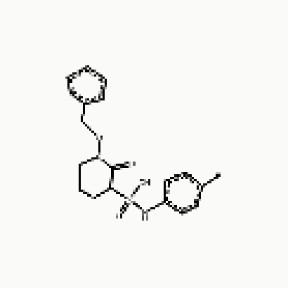 O=C1C(P(=O)(O)Nc2ccc(F)cc2)CCCN1OCc1ccccc1